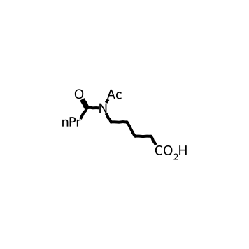 CCCC(=O)N(CCCCC(=O)O)C(C)=O